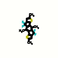 Cc1cc2c(s1)-c1c(C)c3c(c(C)c1C2(F)F)-c1sc(C)cc1C3(F)F